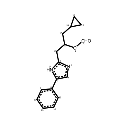 O=COC(Cc1ncc(-c2ccccc2)[nH]1)CC1CC1